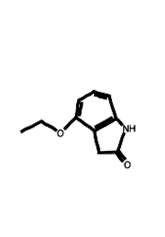 CCOc1cccc2c1CC(=O)N2